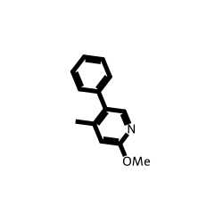 COc1cc(C)c(-c2ccccc2)cn1